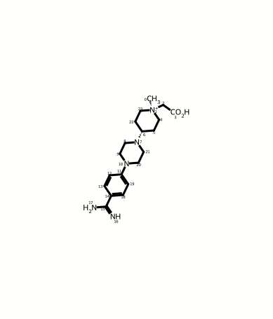 C[N@+]1(CC(=O)O)CC[C@H](N2CCN(c3ccc(C(=N)N)cc3)CC2)CC1